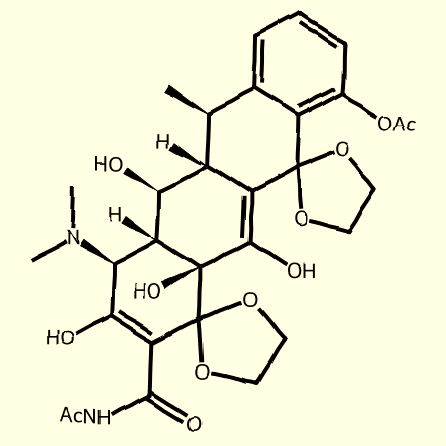 CC(=O)NC(=O)C1=C(O)[C@@H](N(C)C)[C@@H]2[C@@H](O)[C@H]3C(=C(O)[C@]2(O)C12OCCO2)C1(OCCO1)c1c(OC(C)=O)cccc1[C@@H]3C